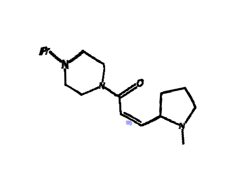 CC(C)N1CCN(C(=O)/C=C\C2CCCN2C)CC1